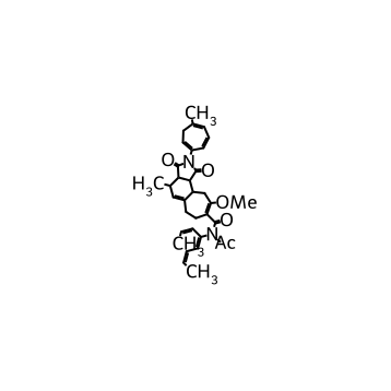 C\C=C/C=C(\C=C/C)N(C(C)=O)C(=O)C1=C(OC)CC2C(=CC(C)C3C(=O)N(C4=CCC(C)=CC=C4)C(=O)C23)CC1